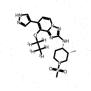 [2H]C([2H])([2H])C([2H])([2H])Oc1c(-c2cn[nH]c2)ccn2nc(N[C@H]3CCN(S(C)(=O)=O)C[C@H]3C)nc12